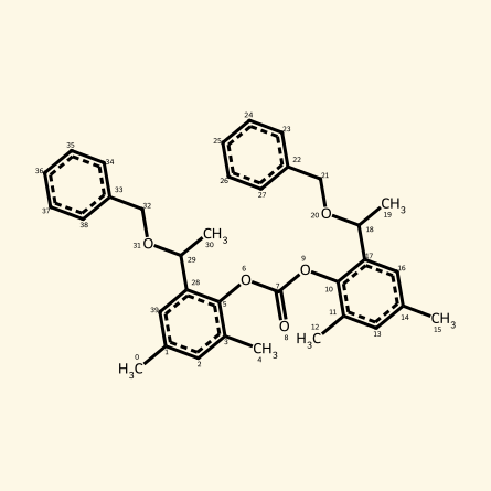 Cc1cc(C)c(OC(=O)Oc2c(C)cc(C)cc2C(C)OCc2ccccc2)c(C(C)OCc2ccccc2)c1